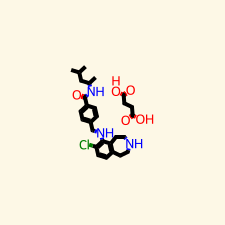 CC(C)CC(C)NC(=O)c1ccc(CNc2c(Cl)ccc3c2CCNCC3)cc1.O=C(O)CCC(=O)O